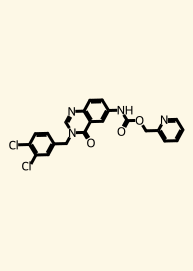 O=C(Nc1ccc2ncn(Cc3ccc(Cl)c(Cl)c3)c(=O)c2c1)OCc1ccccn1